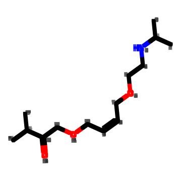 CC(C)NCCOC/C=C\COCC(=O)C(C)C